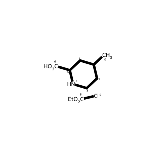 CC1CCNC(C(=O)O)C1.CCOC(=O)Cl